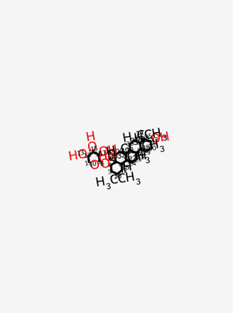 CC1(C)CC[C@]2(C(=O)O[C@H]3OC[C@@H](O)C(O)C3O)C(O)C[C@]3(C)C(=CC[C@@H]4[C@@]5(C)CC[C@H](O)C(C)(C)[C@@H]5CC[C@]43C)[C@@H]2C1